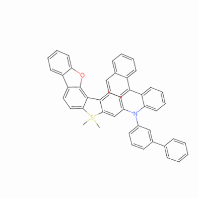 CS1(C)c2cc(N(c3cccc(-c4ccccc4)c3)c3ccccc3-c3cccc4ccccc34)ccc2-c2c1ccc1c2oc2ccccc21